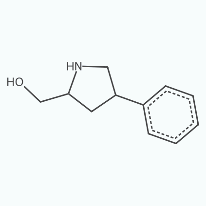 OCC1CC(c2ccccc2)CN1